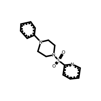 O=S(=O)(c1ccccn1)N1CCN(c2ccccc2)CC1